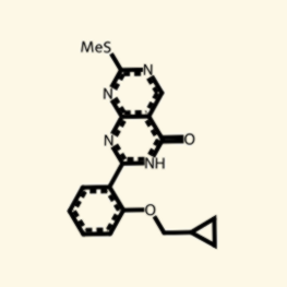 CSc1ncc2c(=O)[nH]c(-c3ccccc3OCC3CC3)nc2n1